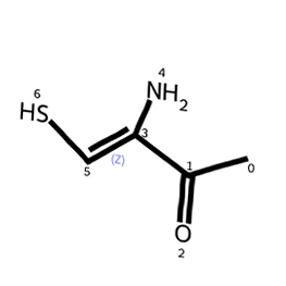 CC(=O)/C(N)=C/S